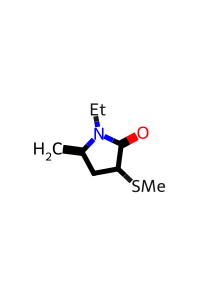 C=C1CC(SC)C(=O)N1CC